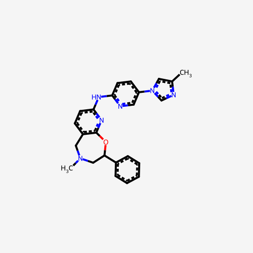 Cc1cn(-c2ccc(Nc3ccc4c(n3)OC(c3ccccc3)CN(C)C4)nc2)cn1